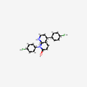 O=c1ccc2c(-c3ccc(F)cc3)ccnc2n1-c1ccc(F)cc1